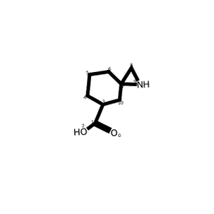 O=C(O)C1CCCC2(CN2)C1